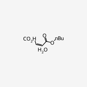 CCCCOC(=O)/C=C\C(=O)O.O